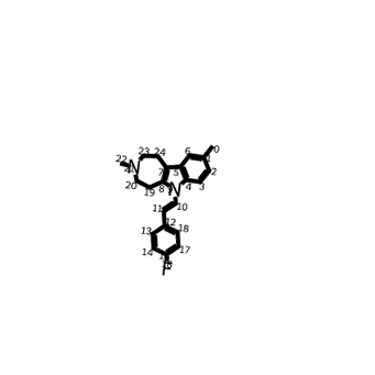 Cc1ccc2c(c1)c1c(n2C=Cc2ccc(F)cc2)CCN(C)CC1